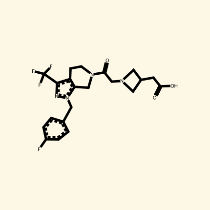 O=C(O)CC1CN(CC(=O)N2CCc3c(C(F)(F)F)nn(Cc4ccc(F)cc4)c3C2)C1